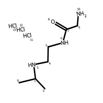 CC(C)NCCNC(=O)CN.Cl.Cl.Cl